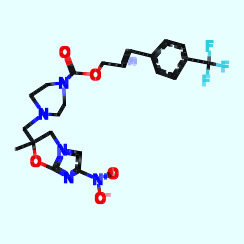 CC1(CN2CCN(C(=O)OC/C=C/c3ccc(C(F)(F)F)cc3)CC2)Cn2cc([N+](=O)[O-])nc2O1